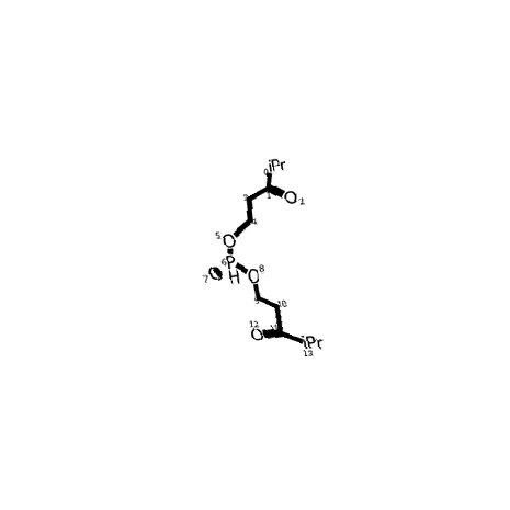 CC(C)C(=O)CCO[PH](=O)OCCC(=O)C(C)C